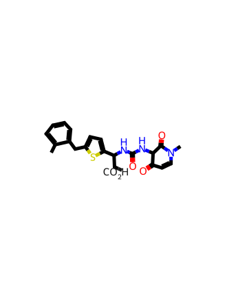 Cc1ccccc1Cc1ccc(C(CC(=O)O)NC(=O)NC2C(=O)C=CN(C)C2=O)s1